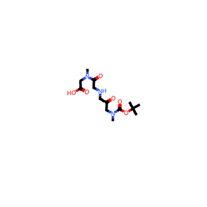 CN(CC(=O)O)C(=O)CNCC(=O)CN(C)C(=O)OC(C)(C)C